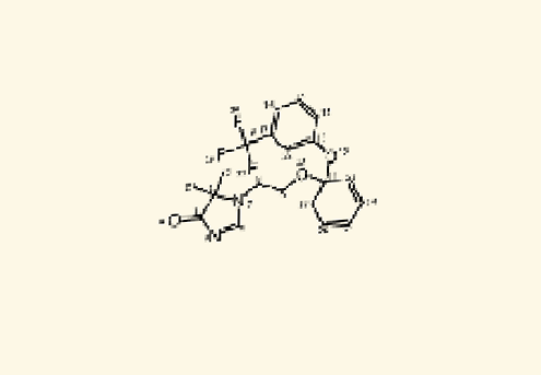 CC1(C)C(=O)N=CN1CCOC1(Oc2cccc(C(F)(F)F)c2)C=CC=CC1